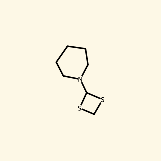 C1CCN(C2SCS2)CC1